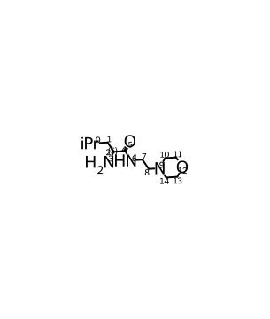 CC(C)C[C@H](N)C(=O)NCCN1CCOCC1